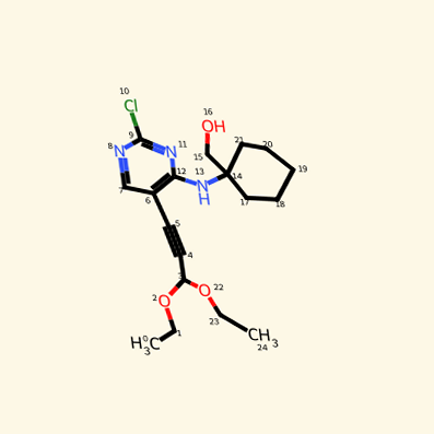 CCOC(C#Cc1cnc(Cl)nc1NC1(CO)CCCCC1)OCC